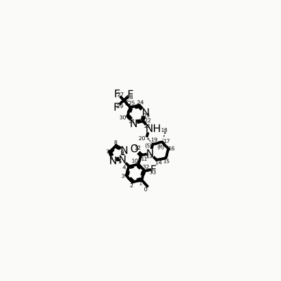 Cc1ccc(-n2nccn2)c(C(=O)N2CCC[C@@H](C)[C@H]2CNc2ncc(C(F)(F)F)cn2)c1F